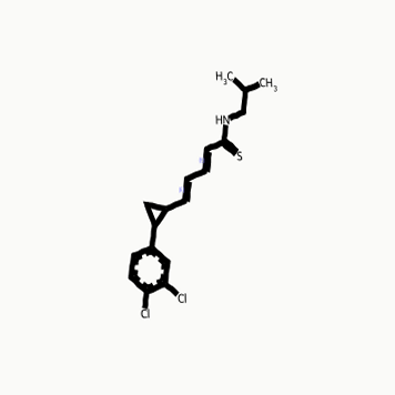 CC(C)CNC(=S)/C=C/C=C/C1CC1c1ccc(Cl)c(Cl)c1